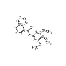 COc1cc(CC(=O)c2cccc3c2COCO3)cc(OC)c1OC